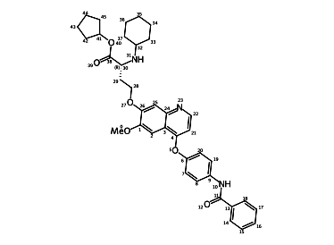 COc1cc2c(Oc3ccc(NC(=O)c4ccccc4)cc3)ccnc2cc1OCC[C@@H](NC1CCCCC1)C(=O)OC1CCCC1